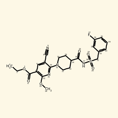 CCOC(=O)c1cc(C#N)c(N2CCC(C(=O)NS(=O)(=O)Cc3cccc(F)c3)CC2)nc1OC